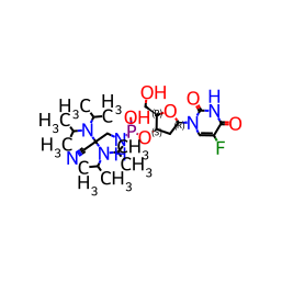 CC(C)N(C(C)C)C(C#N)(CNP(O)O[C@H]1C[C@H](n2cc(F)c(=O)[nH]c2=O)O[C@@H]1CO)N(C(C)C)C(C)C